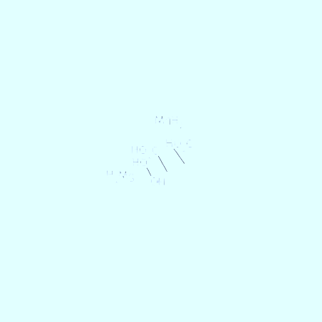 CC(=O)O.CC(=O)O.OO.[MgH2].[MgH2]